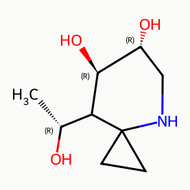 C[C@@H](O)C1[C@@H](O)[C@H](O)CNC12CC2